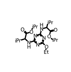 CCOc1nc(NC(C(=O)OC(C)C)C(C)C)nc(NC(C(=O)OC(C)C)C(C)C)n1